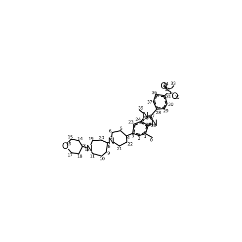 Cc1cc(C2CCN(C3CCCN(C4CCOCC4)CC3)CC2)cc2c1nc(-c1ccc(S(C)(=O)=O)cc1)n2C